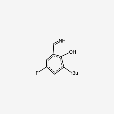 CCC(C)c1cc(F)cc(C=N)c1O